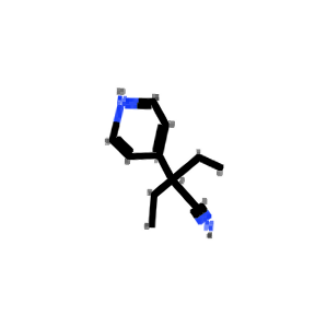 CCC(C#N)(CC)c1ccncc1